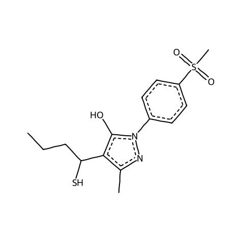 CCCC(S)c1c(C)nn(-c2ccc(S(C)(=O)=O)cc2)c1O